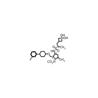 C[C@@H]1C[C@H](NS(=O)(=O)N(C)CC2CS(O)(O)C2)[C@H](COC2CCC(c3cccc(F)c3)CC2)N1C(=O)O